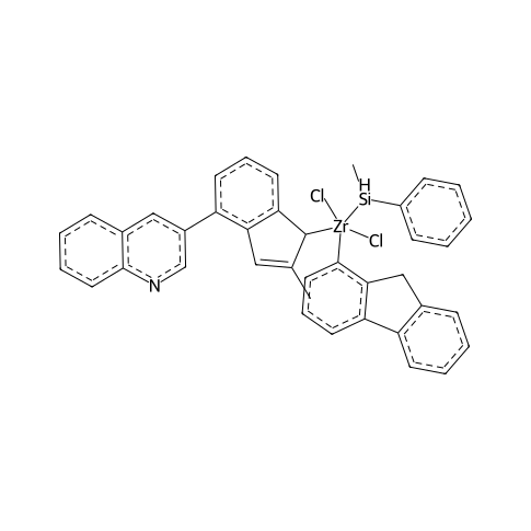 CC1=Cc2c(-c3cnc4ccccc4c3)cccc2[CH]1[Zr]([Cl])([Cl])([c]1cccc2c1Cc1ccccc1-2)[SiH](C)c1ccccc1